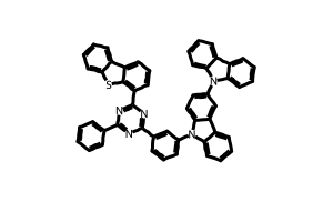 c1ccc(-c2nc(-c3cccc(-n4c5ccccc5c5cc(-n6c7ccccc7c7ccccc76)ccc54)c3)nc(-c3cccc4c3sc3ccccc34)n2)cc1